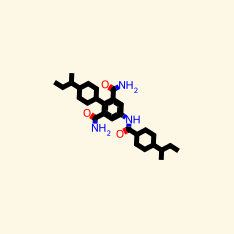 CCC(C)C1CCC(C(=O)Nc2cc(C(N)=O)c(C3CCC(C(C)CC)CC3)c(C(N)=O)c2)CC1